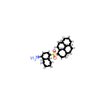 Nc1ccc(S(=O)(=O)c2ccc3ccc4cccc5ccc2c3c45)c2ccccc12